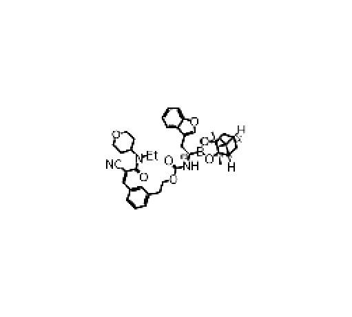 CCN(C(=O)C(C#N)=Cc1cccc(CCOC(=O)N[C@@H](Cc2coc3ccccc23)B2O[C@]3(C)C[C@@H]4C[C@@H](C4(C)C)[C@]3(C)O2)c1)C1CCOCC1